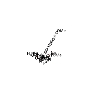 COCCOCCOCCOCCOCCOCCOCCOCCOCCOCCOCCOCCn1cc(COCc2cc(NC(=O)[C@H](CCCNC(N)=O)NC(=O)[C@@H](N)C(C)C)ccc2C[N+]2(C)CCN(CCOc3ccc(-c4c(-c5ccc(F)cc5)sc5ncnc(O[C@H](Cc6ccccc6OCc6ccnc(-c7ccccc7OC)n6)C(=O)O)c45)c(C)c3Cl)CC2)nn1